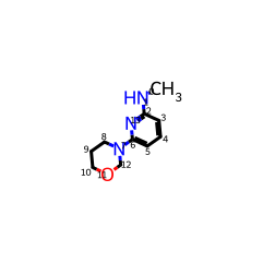 CNc1cccc(N2CCCOC2)n1